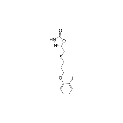 O=c1[nH]nc(CSCCCOc2ccccc2I)o1